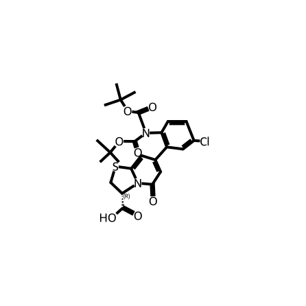 CC(C)(C)OC(=O)N(C(=O)OC(C)(C)C)c1ccc(Cl)cc1-c1cc2n(c(=O)c1)[C@H](C(=O)O)CS2